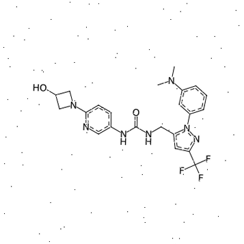 CN(C)c1cccc(-n2nc(C(F)(F)F)cc2CNC(=O)Nc2ccc(N3CC(O)C3)nc2)c1